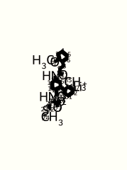 COc1ccccc1CCC(=O)Nc1ccc(C(=O)N[C@@H](CCSC)C(=O)[O-])c(-c2ccccc2C)c1.[Li+]